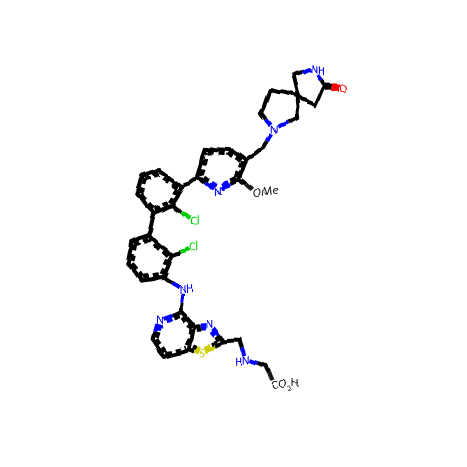 COc1nc(-c2cccc(-c3cccc(Nc4nccc5sc(CNCC(=O)O)nc45)c3Cl)c2Cl)ccc1CN1CCC2(CNC(=O)C2)C1